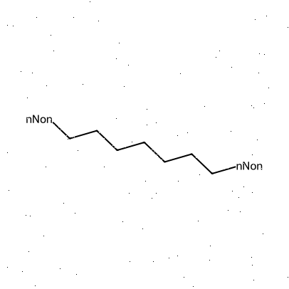 CCCCCCC[CH]CCCCCCCCCCCCCCCCC